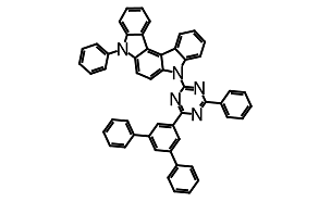 c1ccc(-c2cc(-c3ccccc3)cc(-c3nc(-c4ccccc4)nc(-n4c5ccccc5c5c6c7ccccc7n(-c7ccccc7)c6ccc54)n3)c2)cc1